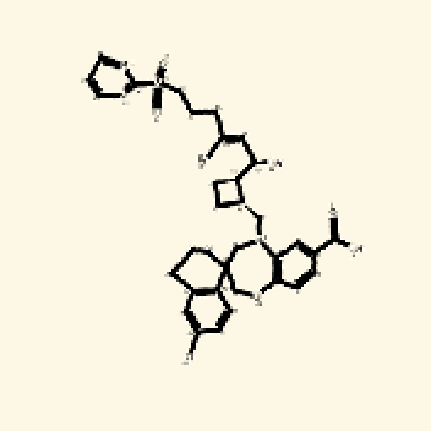 O=C(O)c1ccc2c(c1)N(C[C@H]1CC[C@H]1[C@H](O)/C=C(\Br)CCCS(=O)(=O)c1ncccn1)CC1(CCCc3cc(Cl)ccc31)CO2